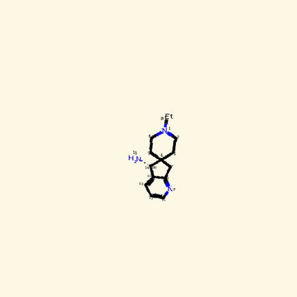 CCN1CCC2(CC1)Cc1ncccc1[C@@H]2N